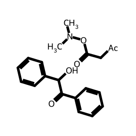 CC(=O)CC(=O)ON(C)C.O=C(c1ccccc1)C(O)c1ccccc1